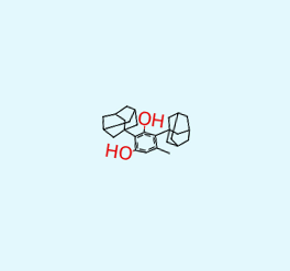 Cc1cc(O)c(C23CC4CC(CC(C4)C2)C3)c(O)c1C12CC3CC(CC(C3)C1)C2